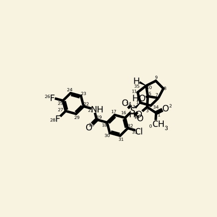 CC(=O)C(O)[C@@]1(O)C2CC[C@H]1C[C@H](S(=O)(=O)c1cc(C(=O)Nc3ccc(F)c(F)c3)ccc1Cl)C2